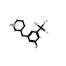 Fc1cc(CC2CCCNC2)cc(C(F)(F)F)c1